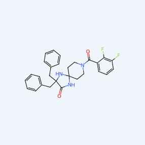 O=C(c1cccc(F)c1F)N1CCC2(CC1)NC(=O)C(Cc1ccccc1)(Cc1ccccc1)N2